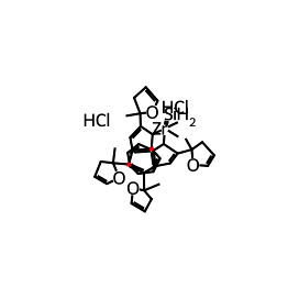 CC1(C2=Cc3c(cccc3C3(C)CC=CO3)[CH]2[Zr]([CH3])([CH3])(=[SiH2])[CH]2C(C3(C)CC=CO3)=Cc3c2cccc3C2(C)CC=CO2)CC=CO1.Cl.Cl